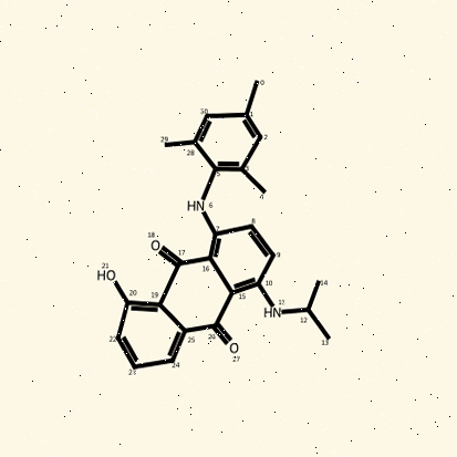 Cc1cc(C)c(Nc2ccc(NC(C)C)c3c2C(=O)c2c(O)cccc2C3=O)c(C)c1